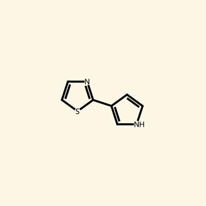 c1csc(-c2cc[nH]c2)n1